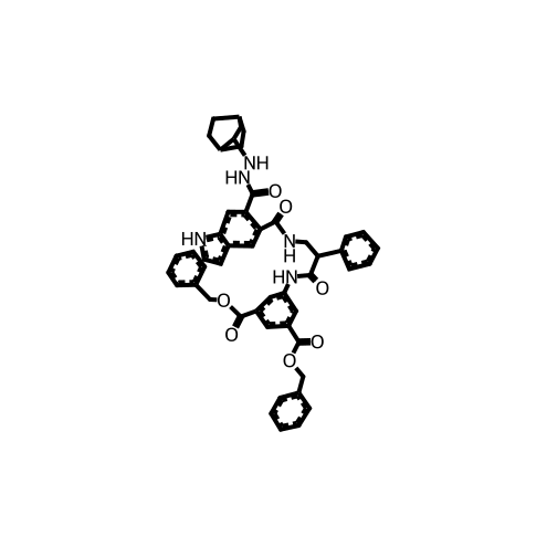 O=C(OCc1ccccc1)c1cc(NC(=O)C(CNC(=O)c2cc3cc[nH]c3cc2C(=O)NNC2CC3CCC2CC3)c2ccccc2)cc(C(=O)OCc2ccccc2)c1